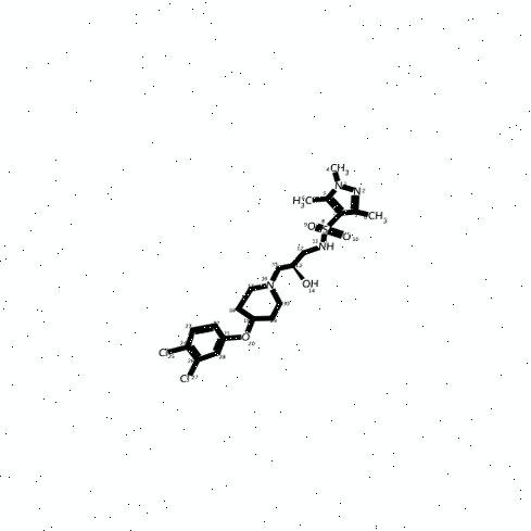 Cc1nn(C)c(C)c1S(=O)(=O)NC[C@@H](O)CN1CCC(Oc2ccc(Cl)c(Cl)c2)CC1